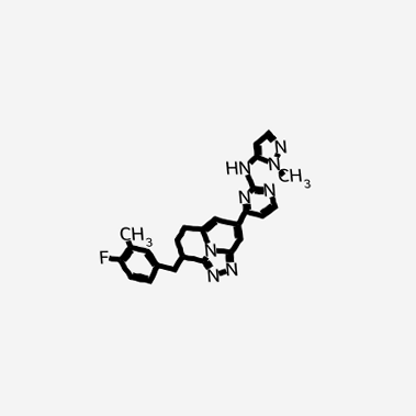 Cc1cc(CC2CCc3cc(-c4ccnc(Nc5ccnn5C)n4)cc4nnc2n34)ccc1F